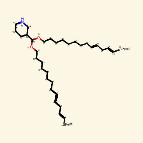 CCCCCC=CCC=CCCCCCCCCOC(OCCCCCCCCC=CCC=CCCCCC)C1CCCNC1